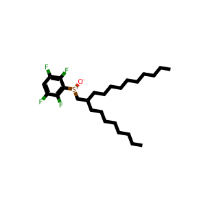 CCCCCCCCCCC(CCCCCCCC)C[S+]([O-])c1c(F)c(F)cc(F)c1F